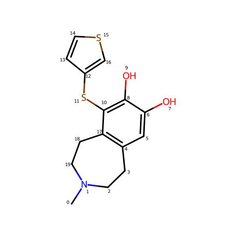 CN1CCc2cc(O)c(O)c(Sc3ccsc3)c2CC1